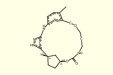 Cc1ccc2nc1COCCCNC(=O)O[C@@H]1CC[C@@H](C1)c1cc(n[nH]1)N2